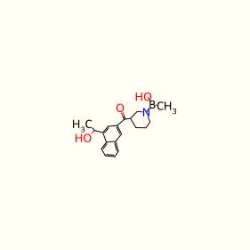 CB(O)N1CCCC(C(=O)c2cc(C(C)O)c3ccccc3c2)C1